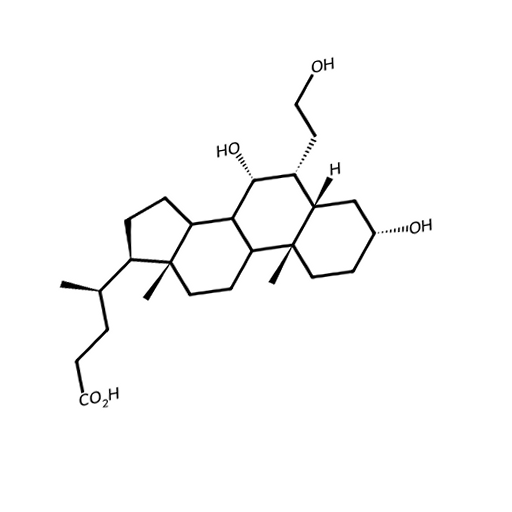 C[C@H](CCC(=O)O)[C@H]1CCC2C3C(CC[C@@]21C)[C@@]1(C)CC[C@@H](O)C[C@H]1[C@@H](CCO)[C@H]3O